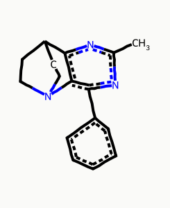 Cc1nc(-c2ccccc2)c2c(n1)C1CCN2CC1